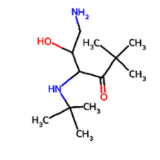 CC(C)(C)NC(C(=O)C(C)(C)C)C(O)CN